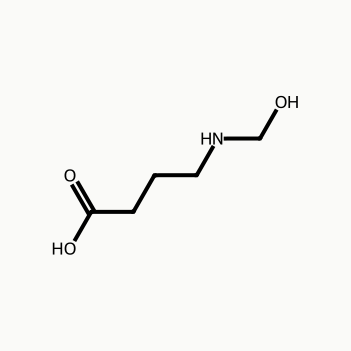 O=C(O)CCCNCO